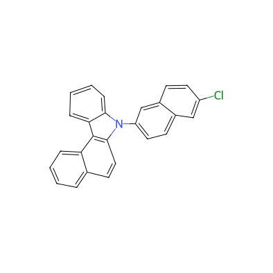 Clc1ccc2cc(-n3c4ccccc4c4c5ccccc5ccc43)ccc2c1